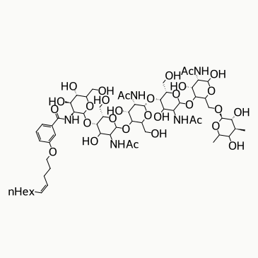 CCCCCC/C=C\CCCOc1cccc(C(=O)N[C@@H]2C(O[C@H]3C(O)C(NC(C)=O)C(OC4C(CO)O[C@@H](O[C@H]5C(O)C(NC(C)=O)C(OC6C(CO[C@@H]7OC(C)C(O)[C@H](C)[C@H]7O)OC(O)[C@@H](NC(C)=O)[C@H]6O)O[C@H]5CO)[C@@H](NC(C)=O)[C@H]4O)O[C@H]3CO)OC(CO)[C@@H](O)[C@@H]2O)c1